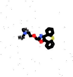 CN(C)CCOCc1nc2c(o1)-c1ccccc1Sc1ccccc1-2